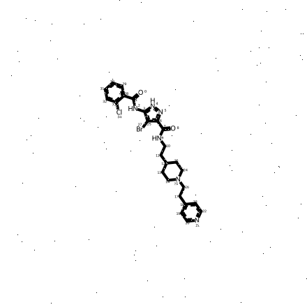 O=C(Nc1[nH]nc(C(=O)NCCC2CCN(CCc3ccncc3)CC2)c1Br)c1ccccc1Cl